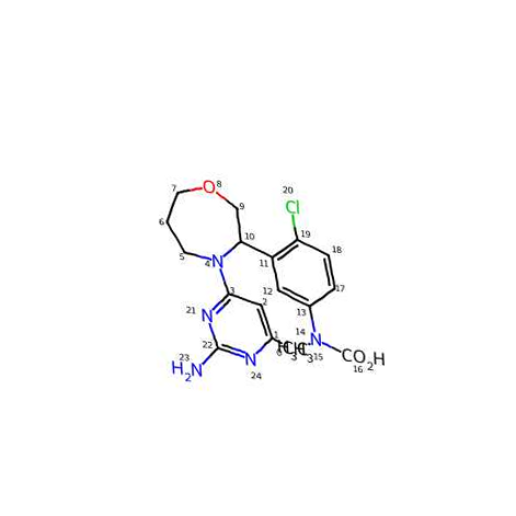 Cc1cc(N2CCCOCC2c2cc(N(C)C(=O)O)ccc2Cl)nc(N)n1